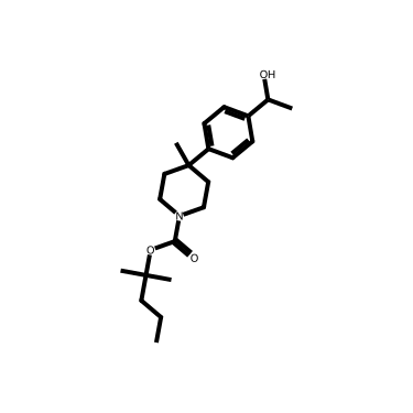 CCCC(C)(C)OC(=O)N1CCC(C)(c2ccc(C(C)O)cc2)CC1